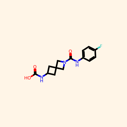 O=C(O)NC1CC2(C1)CN(C(=O)Nc1ccc(F)cc1)C2